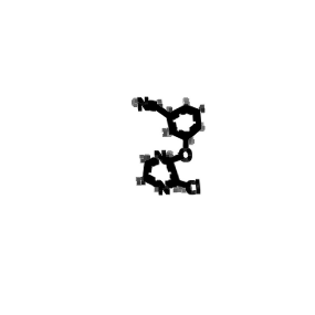 N#Cc1cccc(Oc2nccnc2Cl)c1